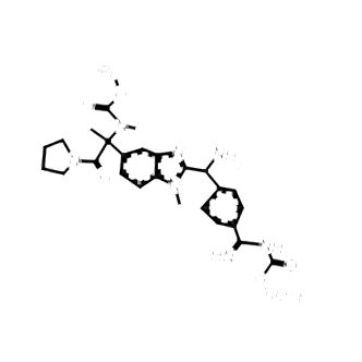 CCCCCCCCOC(=O)NC(=N)c1ccc(C(N)c2nc3cc(C(C)(C(=O)N4CCCC4)N(C)C(=O)OC(C)C)ccc3n2C)cc1